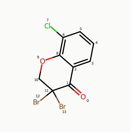 O=C1c2cccc(Cl)c2OCC1(Br)Br